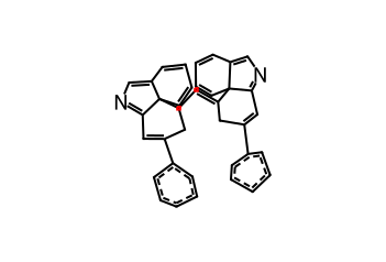 C1=CC2=CN=C3C=C(c4ccccc4)CC(=CC4CC(c5ccccc5)=CC5=NC=C6C=CC=CC654)C23C=C1